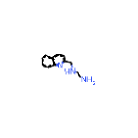 NCCNCc1ccc2ccccc2n1